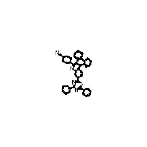 N#Cc1ccc(-c2nc3cc(-c4nc(-c5ccccc5)nc(-c5ccccc5)n4)ccc3c3c4ccccc4c4ccccc4c23)cc1